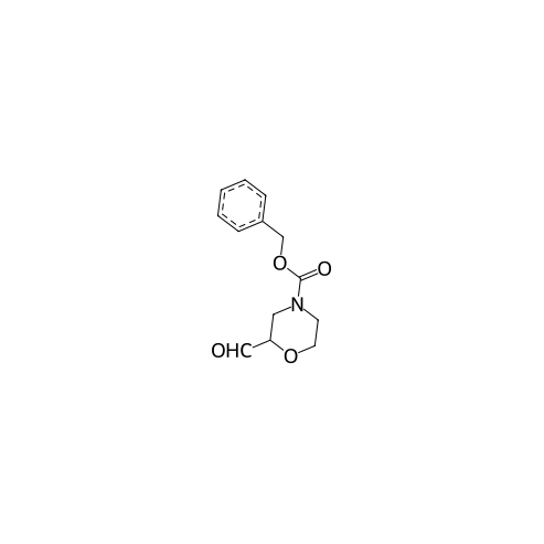 O=CC1CN(C(=O)OCc2ccccc2)CCO1